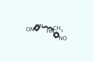 CC(CCCCNc1ccc(N=O)cc1)Nc1ccc(N=O)cc1